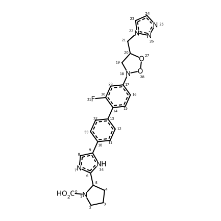 O=C(O)N1CCCC1c1ncc(-c2ccc(-c3ccc(N4CC(Cn5ccnn5)OO4)cc3F)cc2)[nH]1